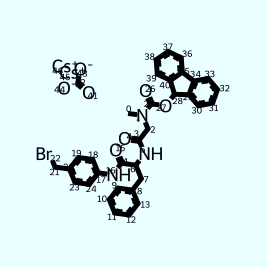 CN(CC(=O)NC(Cc1ccccc1)C(=O)Nc1ccc(CBr)cc1)C(=O)OC1c2ccccc2-c2ccccc21.O=C([O-])[O-].[Cs+].[Cs+]